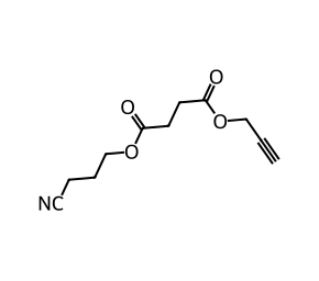 C#CCOC(=O)CCC(=O)OCCCC#N